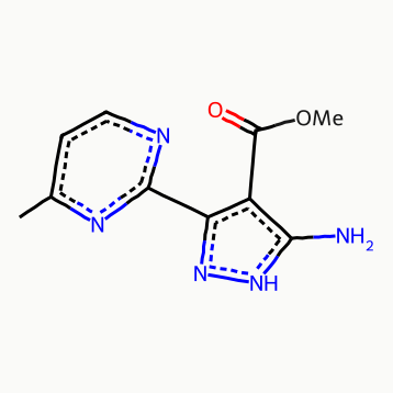 COC(=O)c1c(-c2nccc(C)n2)n[nH]c1N